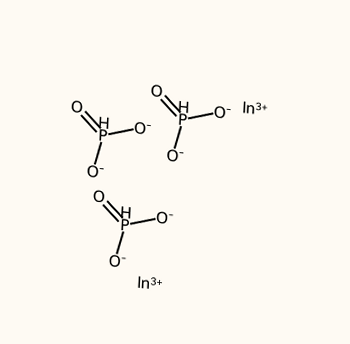 O=[PH]([O-])[O-].O=[PH]([O-])[O-].O=[PH]([O-])[O-].[In+3].[In+3]